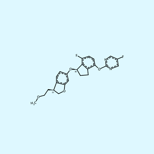 COCC[C@@H]1COc2cc(O[C@@H]3CCc4c(Oc5ncc(F)cn5)ccc(F)c43)ccc21